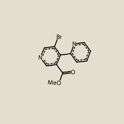 COC(=O)c1cncc(Br)c1-c1ccccn1